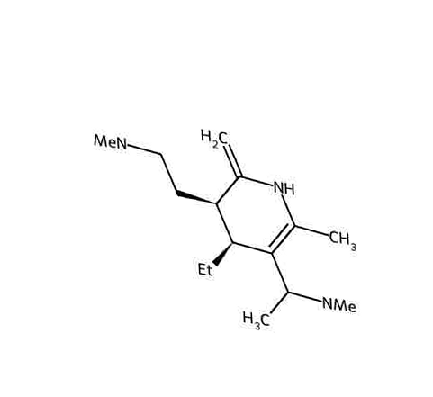 C=C1NC(C)=C(C(C)NC)[C@@H](CC)[C@H]1CCNC